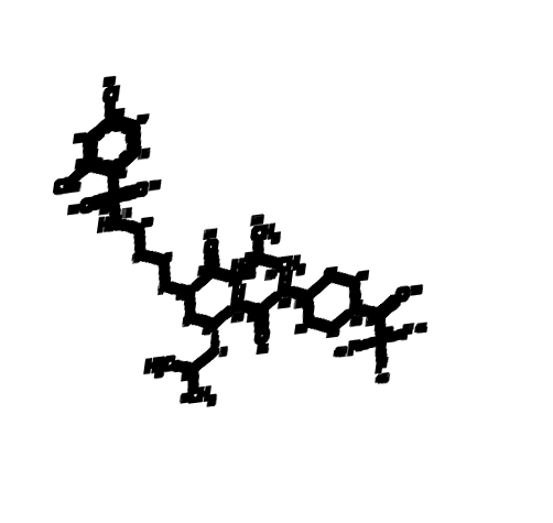 CC(C)C[C@H](CN(CCCCNS(=O)(=O)c1ccc(Cl)cc1Cl)C(=O)NC(C)C)NC(=O)NC1CCN(C(=O)C(F)(F)F)CC1